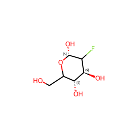 OCC1O[C@H](O)C(F)[C@@H](O)[C@@H]1O